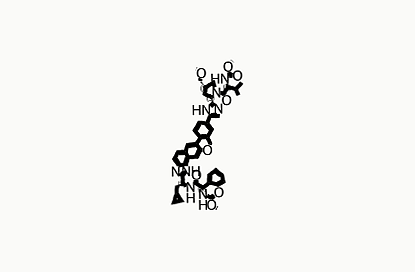 COC[C@H]1C[C@@H](c2ncc(-c3ccc4c(c3)COc3cc5c(ccc6nc([C@H](CC7CC7)NC(=O)[C@H](NC(=O)OC)c7ccccc7)[nH]c65)cc3-4)[nH]2)N(C(=O)[C@@H](NC(=O)OC)C(C)C)C1